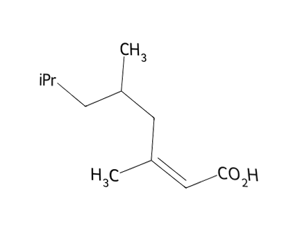 CC(=CC(=O)O)CC(C)CC(C)C